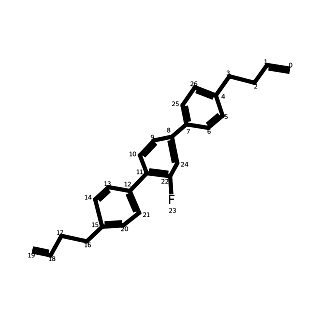 C=CCCc1ccc(-c2ccc(-c3ccc(CCC=C)cc3)c(F)c2)cc1